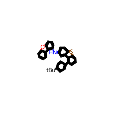 CC(C)(C)c1ccc(-c2cccc3sc4ccc(Nc5cccc6oc7ccccc7c56)cc4c23)cc1